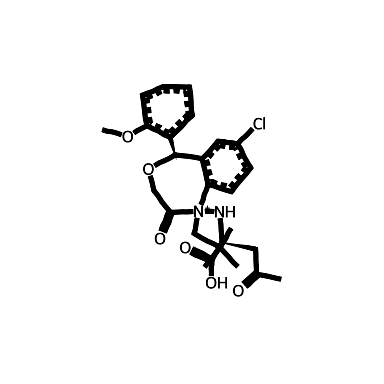 COc1ccccc1[C@@H]1OCC(=O)[N+](CC(C)(C)C)(N[C@@H](CC(C)=O)C(=O)O)c2ccc(Cl)cc21